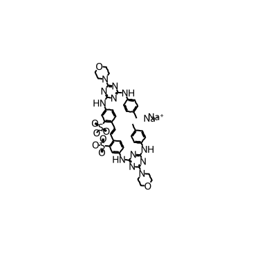 Cc1ccc(Nc2nc(Nc3ccc(C=Cc4ccc(Nc5nc(Nc6ccc(C)cc6)nc(N6CCOCC6)n5)cc4S(=O)(=O)[O-])c(S(=O)(=O)[O-])c3)nc(N3CCOCC3)n2)cc1.[Na+].[Na+]